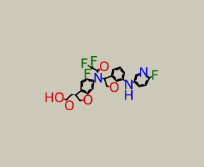 O=C(O)C[C@@H]1COc2cc(N(C(=O)C(F)(F)F)[C@@H]3COc4c(Nc5ccc(F)nc5)cccc43)ccc21